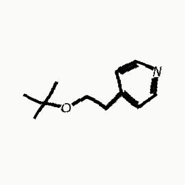 CC(C)(C)OCCc1ccncc1